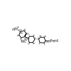 CCCCCC1CCC([C@H]2CC[C@](C#N)(C3=CC[C@H](CCC)CC3)CC2)CC1